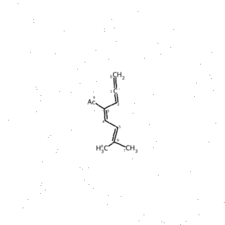 C=C=C/C(=C\C=C(C)C)C(C)=O